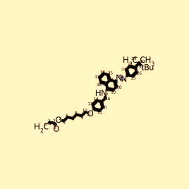 C=CC(=O)OCCCCCCOc1ccc(CNc2ccc(/N=N/c3ccc(C(C)(C)C(C)(C)C)cc3)c3ccccc23)cc1